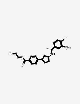 COc1cc([C@@H](C)N[C@H]2CC[C@@H](c3ccc(C(=O)NCCO)cc3)C2)ccc1F